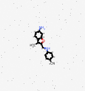 Cc1c(CNc2ccc(C#N)cc2)oc2cc(N)ccc12